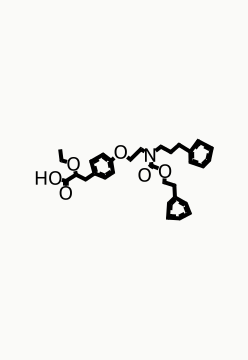 CCOC(Cc1ccc(OCCN(CCCc2ccccc2)C(=O)OCCc2ccccc2)cc1)C(=O)O